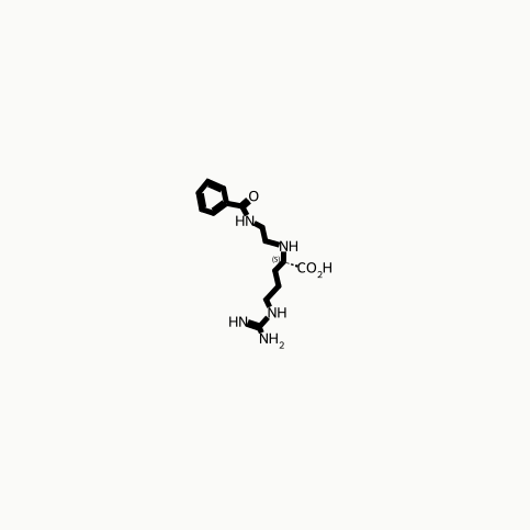 N=C(N)NCCC[C@H](NCCNC(=O)c1ccccc1)C(=O)O